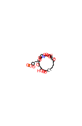 CO[C@H]1C[C@@H]2CC[C@@H](C)[C@@](O)(O2)C(=O)C(=O)N2CCCC[C@H]2C(=O)O[C@H]([C@H](C)CC[C@@H]2CC[C@@H](OP(C)(C)=O)[C@H](OC)C2)CC(=O)[C@H](C)/C=C(\C)[C@@H](O)[C@@H](OC)C(=O)[C@H](C)C[C@H](C)/C=C/C=C/C=C/1C